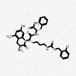 Cc1cc(O)cc2c1C[C@H](N)C(=O)N2[C@@H](CCCCNC(=O)OCc1ccccc1Cl)C(=O)N[C@@H](Cc1ccccc1)C(N)=O